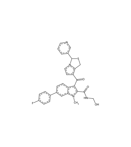 Cn1c(C(=O)NCO)c(C(=O)c2ccn3c2CSC3c2cccnc2)c2ccc(-c3ccc(F)cc3)cc21